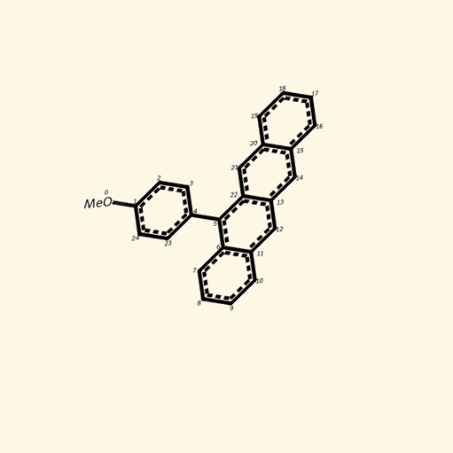 COc1ccc(-c2c3ccccc3cc3cc4ccccc4cc23)cc1